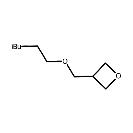 CCC(C)CCOCC1COC1